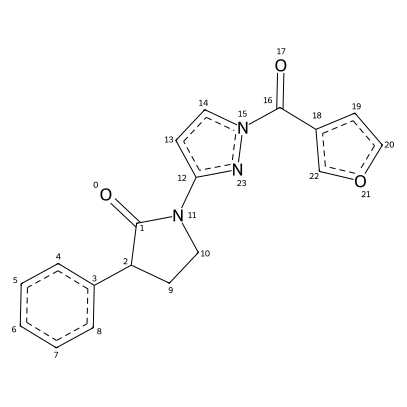 O=C1C(c2ccccc2)CCN1c1ccn(C(=O)c2ccoc2)n1